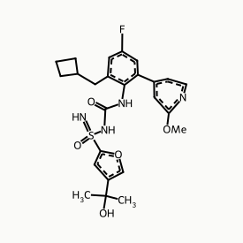 COc1cc(-c2cc(F)cc(CC3CCC3)c2NC(=O)NS(=N)(=O)c2cc(C(C)(C)O)co2)ccn1